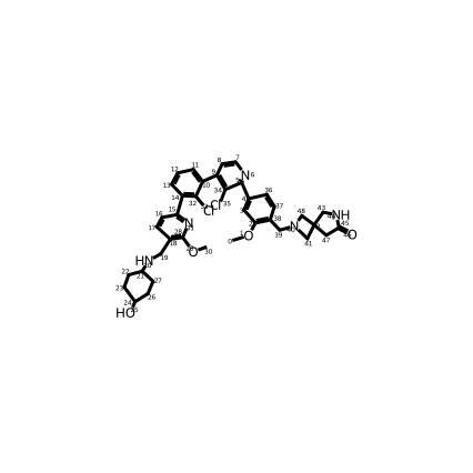 COc1cc(-c2nccc(-c3cccc(-c4ccc(CNC5CCC(O)CC5)c(OC)n4)c3Cl)c2Cl)ccc1CN1CC2(CNC(=O)C2)C1